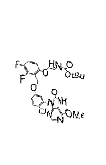 COc1ncnc2c1[nH]c(=O)n2-c1cc(OCc2c(OCCNC(=O)OC(C)(C)C)ccc(F)c2F)ccc1Cl